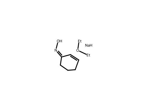 CCOCC.O/N=C1\C=CCCC1.[NaH]